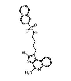 CCc1nc2c(N)nc3ccccc3c2n1CCCCNS(=O)(=O)c1ccc2ccccc2c1